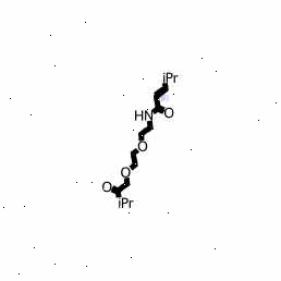 CC(C)/C=C/C(=O)NCCOCCOCC(=O)C(C)C